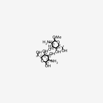 COC1O[C@H](CO)[C@@H](O)[C@H](O)[C@H]1N.N[C@H]1C(O)O[C@H](CO)[C@@H](O)[C@@H]1O